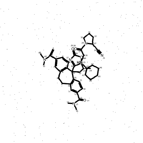 C=C(c1ccc2c(c1)CCc1cc(C(=O)N(C)C)ccc1C2(C[C@H](C)NCC(=O)N1CCCC1C#N)c1nc(=O)on1C1CCCCC1)N(C)C